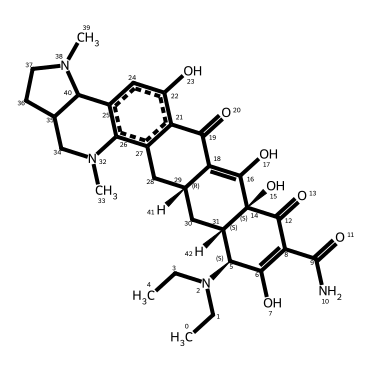 CCN(CC)[C@@H]1C(O)=C(C(N)=O)C(=O)[C@@]2(O)C(O)=C3C(=O)c4c(O)cc5c(c4C[C@H]3C[C@@H]12)N(C)CC1CCN(C)C51